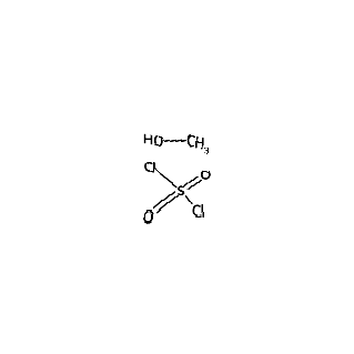 CO.O=S(=O)(Cl)Cl